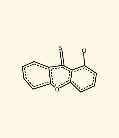 S=c1c2ccccc2oc2cccc(Cl)c12